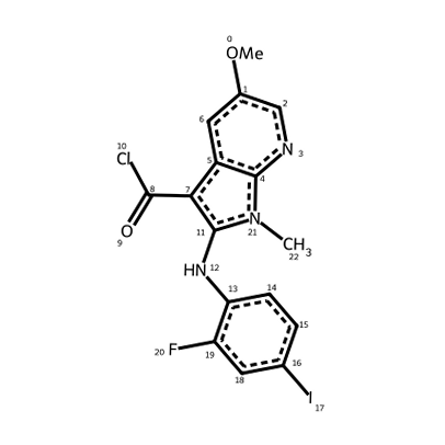 COc1cnc2c(c1)c(C(=O)Cl)c(Nc1ccc(I)cc1F)n2C